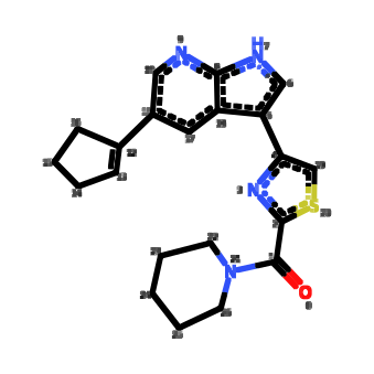 O=C(c1nc(-c2c[nH]c3ncc(C4=CCCC4)cc23)cs1)N1CCCCC1